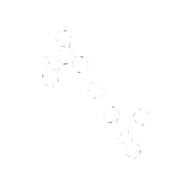 c1ccc(-n2c(-c3ccc(-c4ccc(-c5ccc6c7ccccc7c7nc8ccccc8n7c6c5)cc4)cc3)nc3ccccc32)cc1